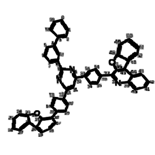 c1ccc(-c2cccc(-c3nc(-c4ccc(-c5cccc6c5oc5ccccc56)cc4)cc(-c4ccc(-c5nc6ccccc6c6c5oc5ccccc56)cc4)n3)c2)cc1